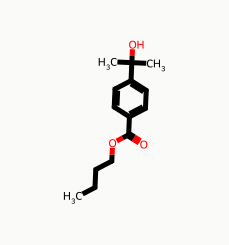 CCCCOC(=O)c1ccc(C(C)(C)O)cc1